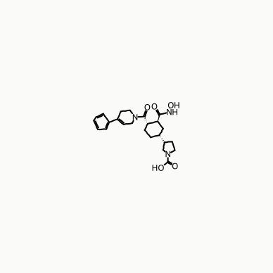 O=C(NO)[C@H]1C[C@H](C2CCN(C(=O)O)C2)CC[C@@H]1C(=O)N1CC=C(c2ccccc2)CC1